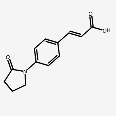 O=C(O)C=Cc1ccc(N2CCCC2=O)cc1